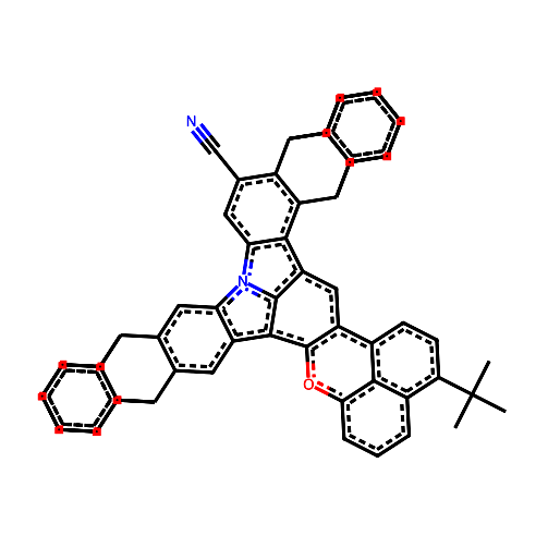 CC(C)(C)c1ccc2c3cc4c5c6c(c(C#N)cc5n5c7cc8c(cc7c(c3oc3cccc1c32)c45)C1c2ccccc2C8c2ccccc21)C1c2ccccc2C6c2ccccc21